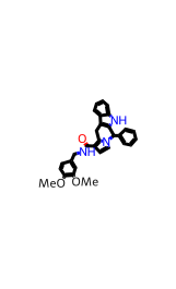 COc1ccc(CNC(=O)c2ccn3c2Cc2c([nH]c4ccccc24)C3c2ccccc2)cc1OC